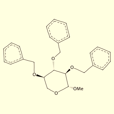 CO[C@@H]1OC[C@@H](OCc2ccccc2)[C@H](OCc2ccccc2)[C@H]1OCc1ccccc1